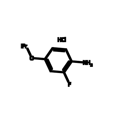 CC(C)Oc1ccc(N)c(F)c1.Cl